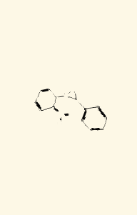 O=S(=O)=C1C=CC=CC1N1OC1c1ccccc1